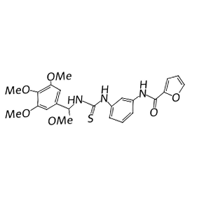 COc1cc(C(NC(=S)Nc2cccc(NC(=O)c3ccco3)c2)OC)cc(OC)c1OC